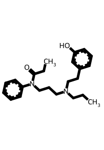 CCCN(CCCN(C(=O)CC)c1ccccc1)CCc1cccc(O)c1